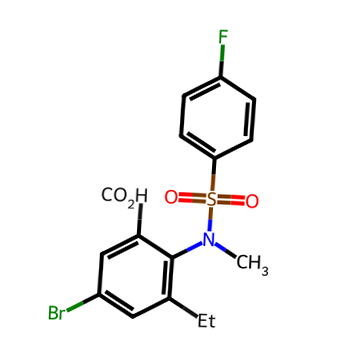 CCc1cc(Br)cc(C(=O)O)c1N(C)S(=O)(=O)c1ccc(F)cc1